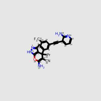 Cc1n[nH]c2c1C(c1cc(C#Cc3cccnc3N)cc(C(F)(F)F)c1)(C(C)C)C(C#N)=C(N)O2